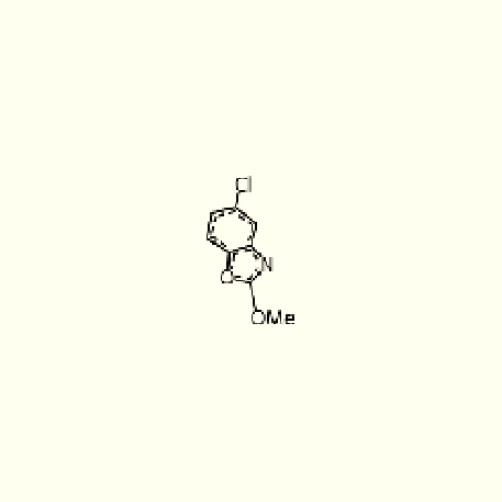 COc1nc2cc(Cl)ccc2o1